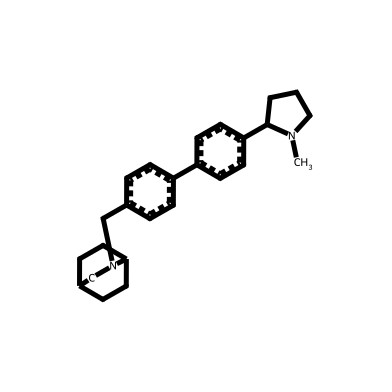 CN1CCCC1c1ccc(-c2ccc(CN3CC4CCC3CC4)cc2)cc1